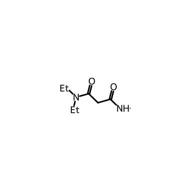 CCN(CC)C(=O)CC([NH])=O